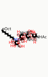 CCCCCCCC/C=C\CCCCCCCC(=O)N[C@@H]1C(O)[C@H](O)[C@@H](CO)O[C@H]1OCC1(CO)CC(O)[C@@H](NC(C)=O)[C@H](O[C@H]2C(O)[C@@H](NC(C)=O)[C@H](O[C@H]3C(O)[C@@H](NC(C)=O)CO[C@H]3CO)O[C@@H]2CO)O1